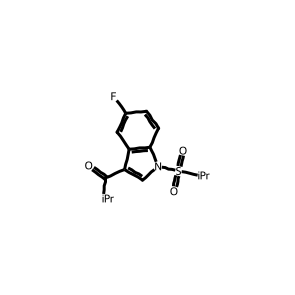 CC(C)C(=O)c1cn(S(=O)(=O)C(C)C)c2ccc(F)cc12